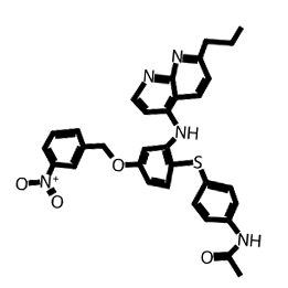 CCCc1ccc2c(Nc3cc(OCc4cccc([N+](=O)[O-])c4)ccc3Sc3ccc(NC(C)=O)cc3)ccnc2n1